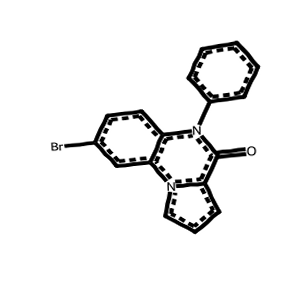 O=c1c2cccn2c2cc(Br)ccc2n1-c1ccccc1